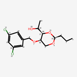 CCC[C@H]1OC[C@@H](OCc2cc(Cl)cc(Cl)c2)[C@@H](C(C)O)O1